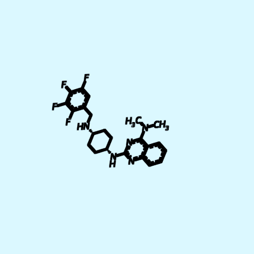 CN(C)c1nc(N[C@H]2CC[C@@H](NCc3cc(F)c(F)c(F)c3F)CC2)nc2ccccc12